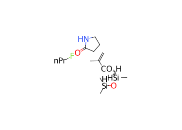 C=C(C)C(=O)O.CCCF.C[SiH](C)O[SiH](C)C.O=C1CCCN1